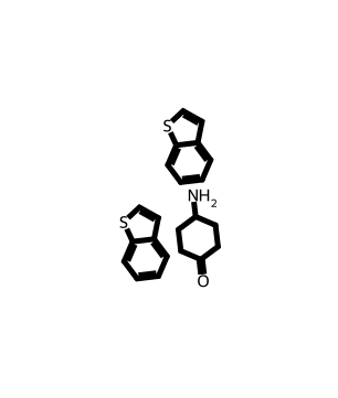 NC1CCC(=O)CC1.c1ccc2sccc2c1.c1ccc2sccc2c1